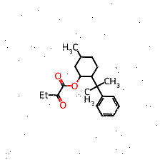 CCC(=O)C(=O)OC1CC(C)CCC1C(C)(C)c1ccccc1